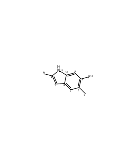 Cc1cc2cc(C)c(F)cc2[nH]1